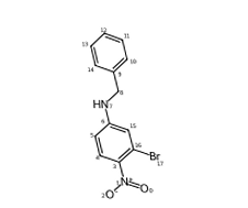 O=[N+]([O-])c1ccc(NCc2ccccc2)cc1Br